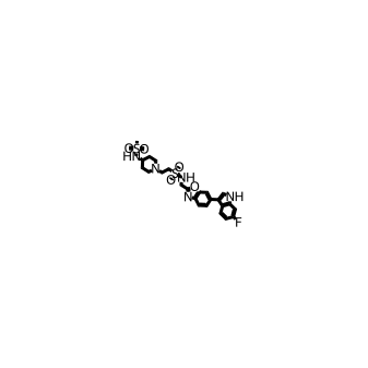 CS(=O)(=O)NC1CCN(CCS(=O)(=O)NCc2nc3ccc(-c4c[nH]c5cc(F)ccc45)cc3o2)CC1